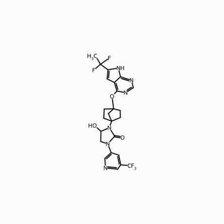 CC(F)(F)c1cc2c(OC34CCC(N5C(=O)N(c6cncc(C(F)(F)F)c6)CC5O)(CC3)C4)ncnc2[nH]1